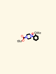 COc1ccccc1[N+]1([O-])CCN(C(=O)OC(C)(C)C)CC1